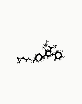 CN(C)CCCOc1ccc(-c2cn(-c3ccccc3)c3c(=O)[nH]cnc23)cn1